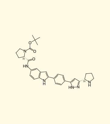 CC(C)(C)OC(=O)N1CCC[C@H]1C(=O)Nc1ccc2[nH]c(-c3ccc(-c4cc([C@@H]5CCCN5)n[nH]4)cc3)cc2c1